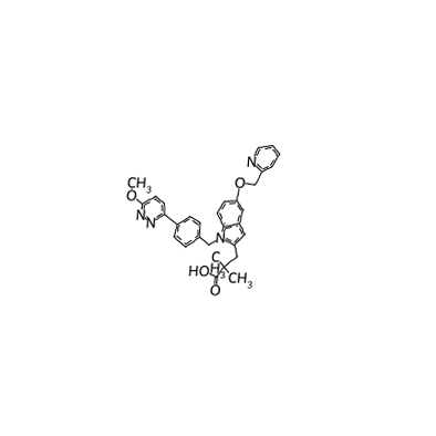 COc1ccc(-c2ccc(Cn3c(CC(C)(C)C(=O)O)cc4cc(OCc5ccccn5)ccc43)cc2)nn1